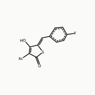 CC(=O)C1=C(O)/C(=C/c2ccc(F)cc2)SC1=O